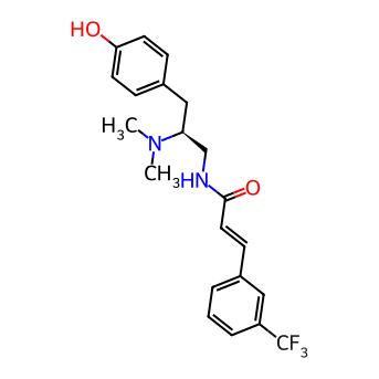 CN(C)[C@H](CNC(=O)/C=C/c1cccc(C(F)(F)F)c1)Cc1ccc(O)cc1